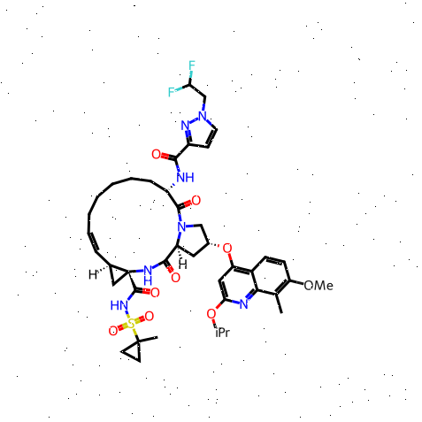 COc1ccc2c(O[C@@H]3C[C@H]4C(=O)N[C@]5(C(=O)NS(=O)(=O)C6(C)CC6)C[C@H]5C=CCCCCC[C@H](NC(=O)c5ccn(CC(F)F)n5)C(=O)N4C3)cc(OC(C)C)nc2c1C